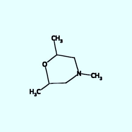 CC1CN(C)CC(C)O1